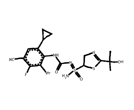 CC(C)c1c(F)c(C#N)cc(C2CC2)c1NC(=O)N=S(N)(=O)C1CN=C(C(C)(C)O)S1